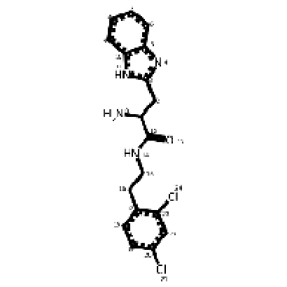 NC(Cc1nc2ccccc2[nH]1)C(=O)NCCc1ccc(Cl)cc1Cl